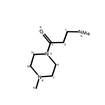 CNCCC(=O)N1CCN(C)CC1